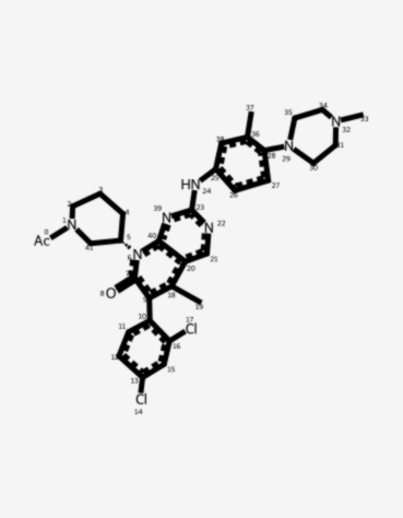 CC(=O)N1CCC[C@H](n2c(=O)c(-c3ccc(Cl)cc3Cl)c(C)c3cnc(Nc4ccc(N5CCN(C)CC5)c(C)c4)nc32)C1